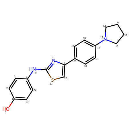 Oc1ccc(Nc2nc(-c3ccc(N4CCCC4)cc3)cs2)cc1